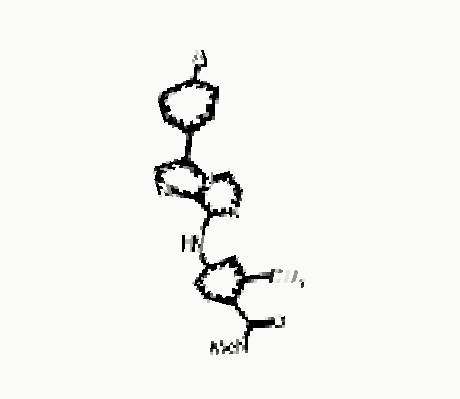 CNC(=O)c1ccc(Nc2nccn3c(-c4ccc(Cl)cc4)cnc23)cc1C